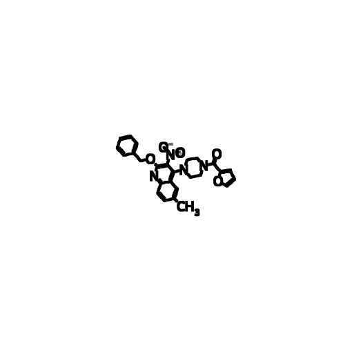 Cc1ccc2nc(OCc3ccccc3)c([N+](=O)[O-])c(N3CCN(C(=O)c4ccco4)CC3)c2c1